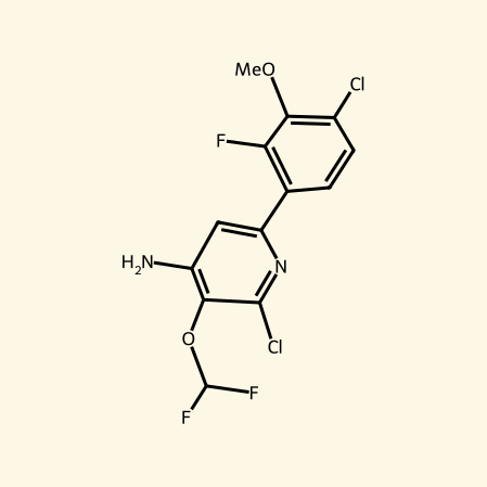 COc1c(Cl)ccc(-c2cc(N)c(OC(F)F)c(Cl)n2)c1F